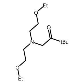 CCOCCN(CCOCC)CC(=O)C(C)(C)C